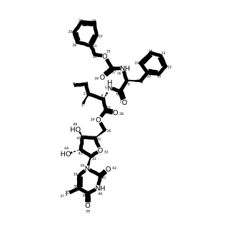 CC[C@H](C)[C@H](NC(=O)[C@H](Cc1ccccc1)NC(=O)OCc1ccccc1)C(=O)OC[C@H]1O[C@@H](n2cc(F)c(=O)[nH]c2=O)[C@H](O)[C@@H]1O